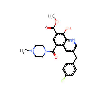 COC(=O)c1cc(C(=O)N2CCN(C)CC2)c2cc(Cc3ccc(F)cc3)cnc2c1O